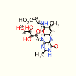 C=c1nc2c(c(=O)[nH]1)=Nc1cc(C)c(NCCC(=O)O)cc1N2C[C@H](O)[C@H](O)[C@H](O)CO